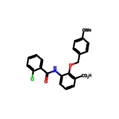 COc1ccc(COc2c(NC(=O)c3ccccc3Cl)cccc2C(=O)O)cc1